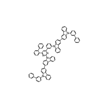 c1ccc(-c2cccc(-n3c4ccccc4c4cc(-c5ccc6c(c5)c5ccccc5n6-c5cccc(-c6cc(-c7ccccc7-c7ccccc7)nc(-n7c8ccccc8c8cc(-c9ccc%10c(c9)c9ccccc9n%10-c9cccc(-c%10ccccc%10)c9)ccc87)n6)c5)ccc43)c2)cc1